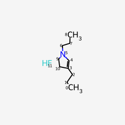 CCCC1=CN(CCC)CC1.F